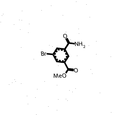 COC(=O)c1cc(Br)cc(C(N)=O)c1